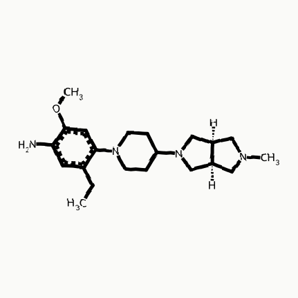 CCc1cc(N)c(OC)cc1N1CCC(N2C[C@H]3CN(C)C[C@H]3C2)CC1